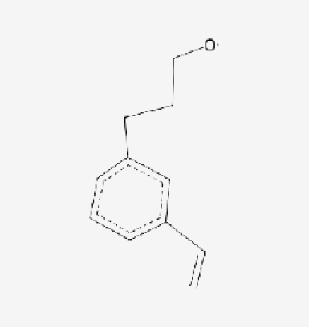 C=Cc1cccc(CCC[O])c1